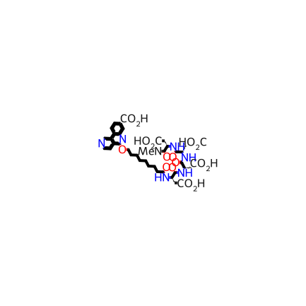 CNC(=O)[C@H](CC(=O)O)NC(=O)[C@H](CC(=O)O)NC(=O)[C@H](CC(=O)O)NC(=O)[C@H](CC(=O)O)NC(=O)CCCCCCCCOc1nc2cc(C(=O)O)ccc2c2cnccc12